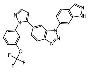 FC(F)(F)Oc1cccc(-n2nccc2-c2ccc3nnn(-c4ccc5cn[nH]c5c4)c3c2)c1